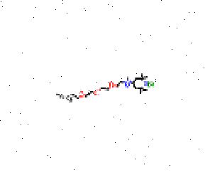 COCCOCCOCCOCC[N+](C)(C)C1CC(C)(C)N(Br)C(C)(C)C1